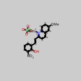 CCCCCCCCCC[n+]1c(/C=C/c2cccc([N+](=O)[O-])c2O)ccc2cc(OC)ccc21.[O-][Cl+3]([O-])([O-])[O-]